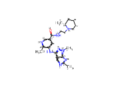 Cc1ncc2c(Nc3cc(C(=O)NCCN4CCCC[C@H]4C)cnc3C)nn(C)c2n1